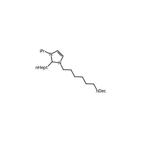 CCCCCCCCCCCCCCCCN1C=CN(C(C)C)C1CCCCCCC